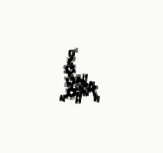 COCCN1CCC(N2CCN(c3cc(C#N)cc(Nc4nc(NC5CC5)n5ncc(C#N)c5n4)c3Cl)[C@@H](C)C2)CC1